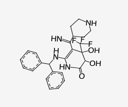 N=C(C1=C(NC(c2ccccc2)c2ccccc2)NC(=O)C(O)C1(O)C(F)(F)F)C1CCNCC1